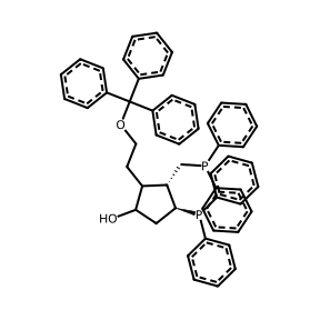 OC1C[C@H](P(c2ccccc2)c2ccccc2)[C@@H](CP(c2ccccc2)c2ccccc2)C1CCOC(c1ccccc1)(c1ccccc1)c1ccccc1